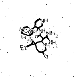 CCCC1(NC(=O)C(C(N)N)C2CC3(CCC(Cl)CN2)C(CC)[C@@H]3C)CNC=C=C1N1CCN2CCC1CC2